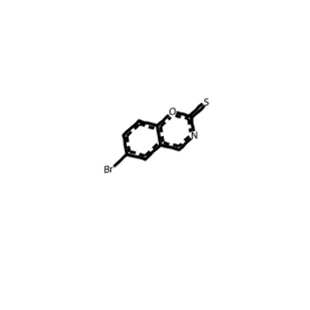 S=c1ncc2cc(Br)ccc2o1